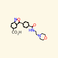 O=C(O)c1ccc2noc(-c3ccc(C(=O)NCCN4CCOCC4)cc3)c2c1